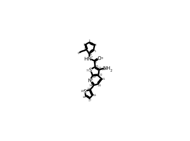 Cc1ccccc1NC(=O)c1sc2nc(-c3cccs3)ccc2c1N